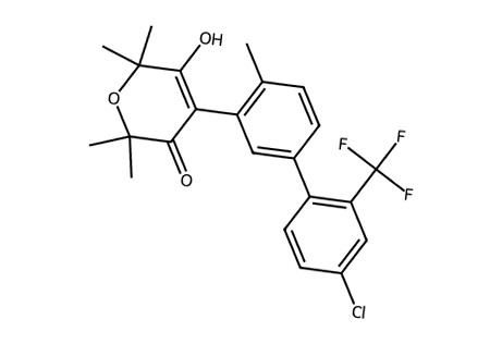 Cc1ccc(-c2ccc(Cl)cc2C(F)(F)F)cc1C1=C(O)C(C)(C)OC(C)(C)C1=O